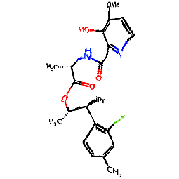 COc1ccnc(C(=O)N[C@@H](C)C(=O)O[C@@H](C)[C@H](c2ccc(C)cc2F)C(C)C)c1O